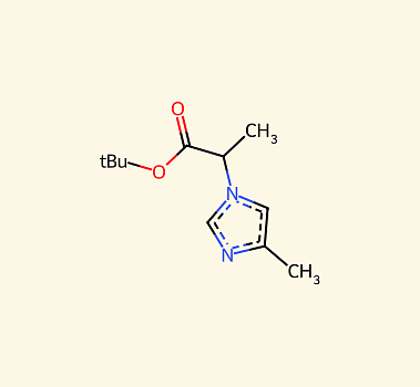 Cc1cn(C(C)C(=O)OC(C)(C)C)cn1